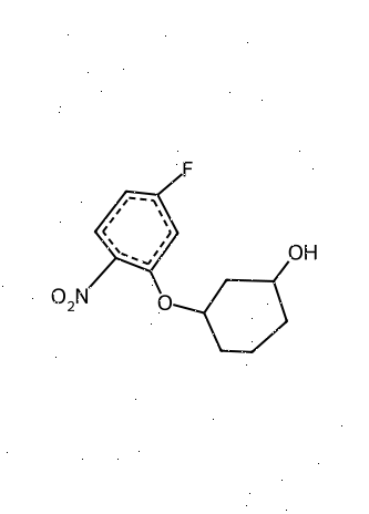 O=[N+]([O-])c1ccc(F)cc1OC1CCCC(O)C1